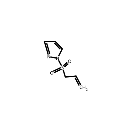 C=CCS(=O)(=O)n1cccn1